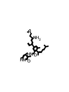 C=C/C(=C\C=C(/N)CCN(C)C)c1cc(C)c(/C(C)=C\C=C\C(C)C)c(C(=O)NCc2c(C)cc(C)[nH]c2=O)c1